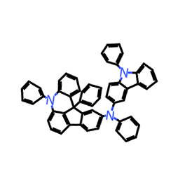 c1ccc(N(c2ccc3c(c2)C2(c4ccccc4)c4ccccc4N(c4ccccc4)c4cccc-3c42)c2ccc3c(c2)c2ccccc2n3-c2ccccc2)cc1